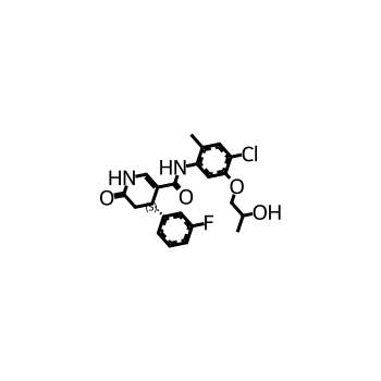 Cc1cc(Cl)c(OCC(C)O)cc1NC(=O)C1=CNC(=O)C[C@H]1c1cccc(F)c1